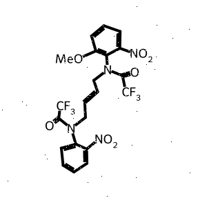 COc1cccc([N+](=O)[O-])c1N(C/C=C/CN(C(=O)C(F)(F)F)c1ccccc1[N+](=O)[O-])C(=O)C(F)(F)F